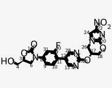 O=C1O[C@H](CO)CN1c1ccc(-c2cnc(O[C@@H]3COc4nc([N+](=O)[O-])cn4C3)nc2)c(F)c1